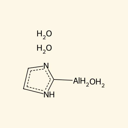 O.O.O.[AlH2][c]1ncc[nH]1